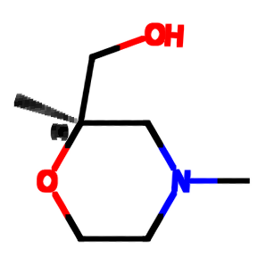 CN1CCO[C@@](C)(CO)C1